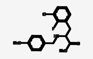 COC(=O)C(Cc1cccc(Cl)c1F)NCc1ccc(OC)cc1